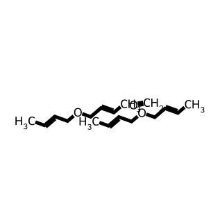 C=O.CC=CCOCC=CC.CC=CCOCC=CC